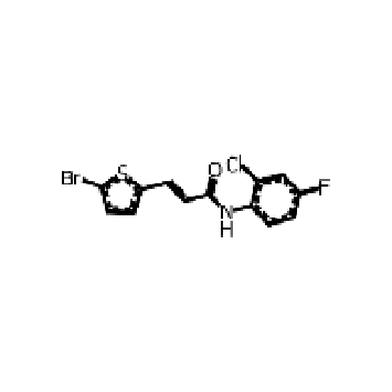 O=C(/C=C/c1ccc(Br)s1)Nc1ccc(F)cc1Cl